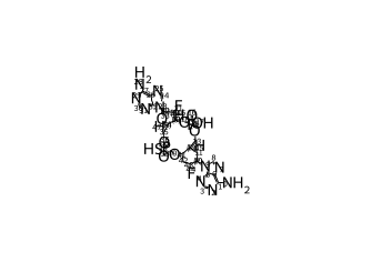 Nc1ncnc2c1ncn2[C@@H]1C[C@@H]2COP(=O)(O)O[C@@H]3[C@H](F)[C@H](n4cnc5c(N)ncnc54)O[C@@H]3COP(=O)(S)OC2CC1F